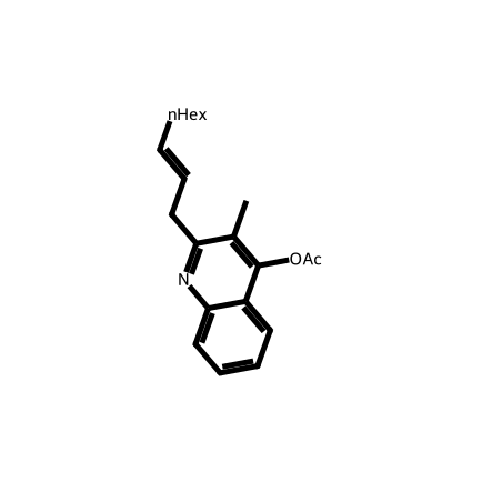 CCCCCCC=CCc1nc2ccccc2c(OC(C)=O)c1C